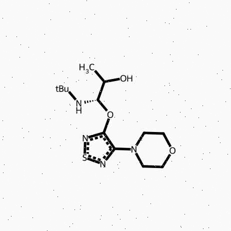 CC(O)[C@@H](NC(C)(C)C)Oc1nsnc1N1CCOCC1